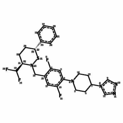 Fc1cc(N2CCC(n3cnnc3)CC2)c(F)cc1CN1S[C@@H](c2ccccc2)CC[C@@H]1C(F)F